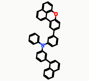 c1ccc(N(c2cccc(-c3ccc4c(c3)-c3cccc5cccc(c35)O4)c2)c2cccc(-c3cccc4ccccc34)c2)cc1